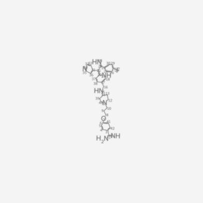 N=C(N)c1ccc(OCCCN2CCC(NCC3=CN/C(=C(\C(=N)c4ccc(F)cc4)c4ccncc4)C=C3)CC2)cc1